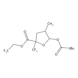 CC1CC(C(=O)OCC(F)(F)F)(C(F)(F)F)OC1OC(=O)C(C)(C)C